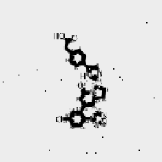 O=C(O)Cc1ccc(-c2cnc([C@@H]3CCc4cc(-c5cc(Cl)ccc5-n5cnnn5)cc(=O)n43)[nH]2)cc1